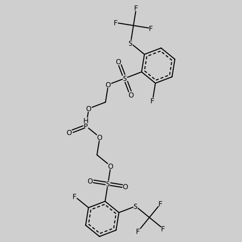 O=[PH](OCOS(=O)(=O)c1c(F)cccc1SC(F)(F)F)OCOS(=O)(=O)c1c(F)cccc1SC(F)(F)F